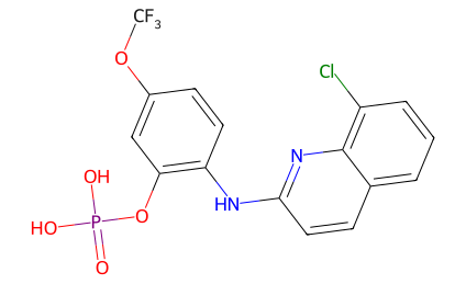 O=P(O)(O)Oc1cc(OC(F)(F)F)ccc1Nc1ccc2cccc(Cl)c2n1